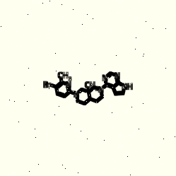 Cc1nc(N2CCC3CCN(c4ncnc5[nH]ccc45)C[C@@]3(C)C2)ccc1Br